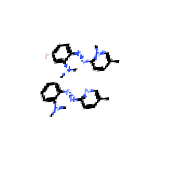 Cc1ccc(N=Nc2ccccc2N(C)C)[n+](C)c1.Cc1ccc(N=Nc2ccccc2N(C)C)nc1.[I-]